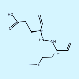 C=C[C@H](CCSC)NN[C@H](C=O)CCC(=O)O